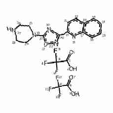 O=C(O)C(F)(F)F.O=C(O)C(F)(F)F.c1ccc2nc(-c3noc(N4CCNCC4)n3)ccc2c1